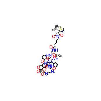 C/C=C\C(CCC)(SC(C)CC)C1CC(=O)N(CCCCCC(=O)NCC(=O)NCC(=O)N[C@@H](Cc2ccccc2)C(=O)NCC(=O)N(C)CCN(C)C(=O)O[C@@]2(CC)C(=O)OCc3c2cc2n(c3=O)Cc3c-2nc2ccccc2c3CNOC(C)(C)C)C1=O